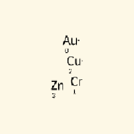 [Au].[Cr].[Cu].[Zn]